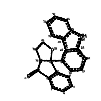 S=C1c2ccccc2C2(c3cccc4[nH]c5ccccc5c34)OCCN12